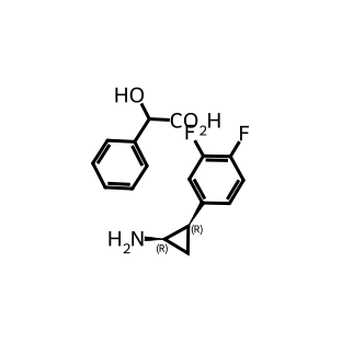 N[C@@H]1C[C@@H]1c1ccc(F)c(F)c1.O=C(O)C(O)c1ccccc1